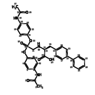 CC(=O)Nc1ccc(OP(=O)(CN[C@@H](Cc2ccc(-c3ccccc3)cc2)C(=O)O)Oc2ccc(NC(C)=O)cc2)cc1